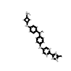 Cc1nc(-c2ncc(Oc3ccc([C@H](C)c4ccc(OC5CC(N)C5)cc4)cc3)cn2)no1